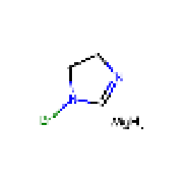 BrN1C=NCC1.[MgH2]